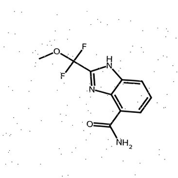 COC(F)(F)c1nc2c(C(N)=O)cccc2[nH]1